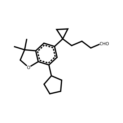 CC1(C)COc2c(C3CCCC3)cc(C3(CCCC=O)CC3)cc21